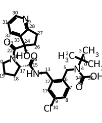 CC(C)(C)N(Cc1ccc(Cl)cc1CNC(=O)[C@@H]1CCCN1C(=O)C1(O)CCc2ncccc21)C(=O)O